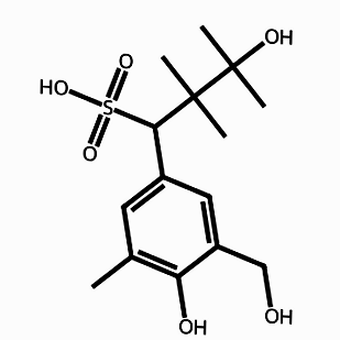 Cc1cc(C(C(C)(C)C(C)(C)O)S(=O)(=O)O)cc(CO)c1O